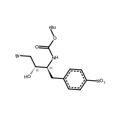 CC(C)(C)OC(=O)N[C@@H](Cc1ccc([N+](=O)[O-])cc1)[C@H](O)CBr